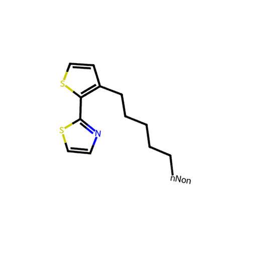 CCCCCCCCCCCCCCc1ccsc1-c1nccs1